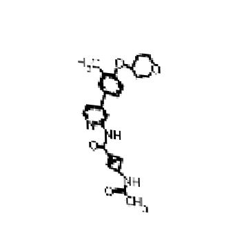 CC(=O)NC1C2CC1C2C(=O)Nc1cc(-c2ccc(OC3CCOCC3)c(C)c2)ccn1